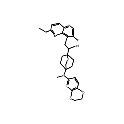 COc1ccc2ncc(F)c(CC(O)C34CCC(N(C)c5ccc6c(n5)OCCO6)(CC3)CO4)c2n1